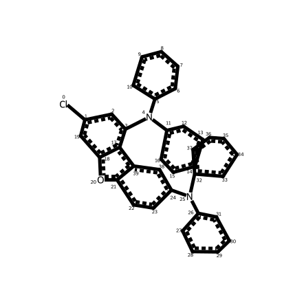 Clc1cc(N(c2ccccc2)c2ccccc2)c2c(c1)oc1ccc(N(c3ccccc3)c3ccccc3)cc12